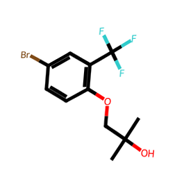 CC(C)(O)COc1ccc(Br)cc1C(F)(F)F